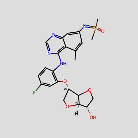 Cc1cc(N=S(C)(C)=O)cc2ncnc(Nc3ccc(F)cc3O[C@H]3CO[C@H]4C3OC[C@@H]4O)c12